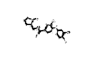 CCN1CCCC1CNC(=O)c1ccc(Sc2ccc(F)c(O)c2)c([N+](=O)[O-])c1